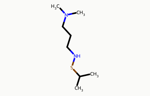 CC(C)SNCCCN(C)C